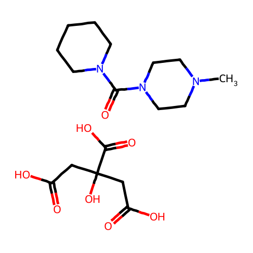 CN1CCN(C(=O)N2CCCCC2)CC1.O=C(O)CC(O)(CC(=O)O)C(=O)O